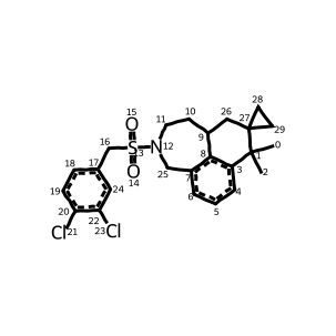 CC1(C)c2cccc3c2C(CCN(S(=O)(=O)Cc2ccc(Cl)c(Cl)c2)C3)CC12CC2